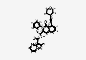 Cc1nn2cccnc2c1C(=O)N[C@@H](C)c1cc2cccc(C#CC3CCOCC3)c2c(=O)n1-c1ccccc1